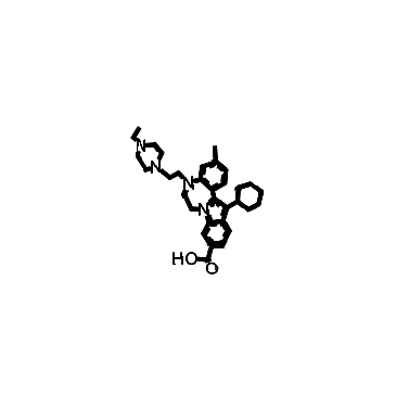 CCN1CCN(CCN2CCn3c(c(C4CCCCC4)c4ccc(C(=O)O)cc43)-c3ccc(C)cc32)CC1